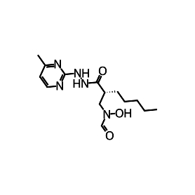 CCCCC[C@H](CN(O)C=O)C(=O)NNc1nccc(C)n1